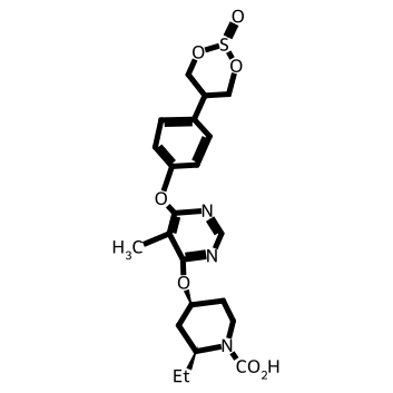 CC[C@H]1C[C@@H](Oc2ncnc(Oc3ccc(C4COS(=O)OC4)cc3)c2C)CCN1C(=O)O